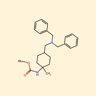 CC1(NC(=O)OC(C)(C)C)CCC(CN(Cc2ccccc2)Cc2ccccc2)CC1